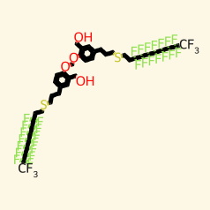 OCc1cc(CCCSCCC(F)(F)C(F)(F)C(F)(F)C(F)(F)C(F)(F)C(F)(F)C(F)(F)C(F)(F)F)ccc1OCOc1ccc(CCCSCCC(F)(F)C(F)(F)C(F)(F)C(F)(F)C(F)(F)C(F)(F)C(F)(F)C(F)(F)F)cc1CO